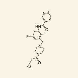 Cc1ccc(C(=O)Nc2cc(F)cc(CN3CCN(C(=O)CC4CC4)CC3)c2C)cn1